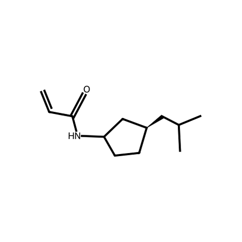 C=CC(=O)NC1CC[C@H](CC(C)C)C1